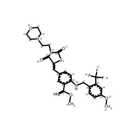 COC(=N)c1cc(/C=C2\SC(=O)N(CCN3CCOCC3)C2=O)ccc1NCc1ccc(OC)cc1C(F)(F)F